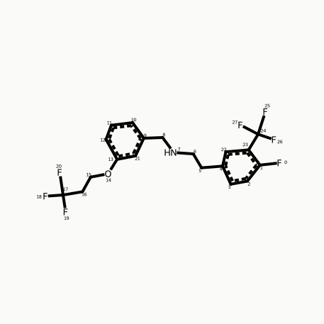 Fc1ccc(CCNCc2cccc(OCCC(F)(F)F)c2)cc1C(F)(F)F